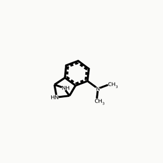 CN(C)c1cccc2c1C1NC2N1